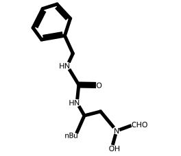 CCCCC(CN(O)C=O)NC(=O)NCc1ccccc1